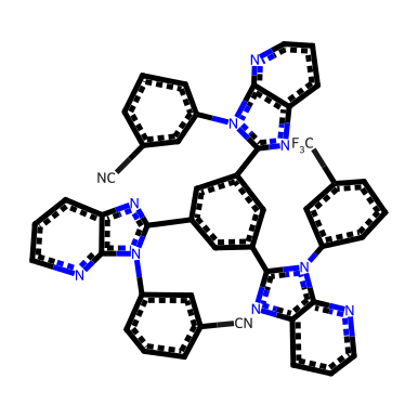 N#Cc1cccc(-n2c(-c3cc(-c4nc5cccnc5n4-c4cccc(C#N)c4)cc(-c4nc5cccnc5n4-c4cccc(C(F)(F)F)c4)c3)nc3cccnc32)c1